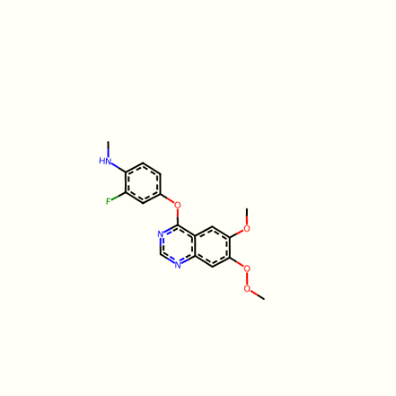 CNc1ccc(Oc2ncnc3cc(OOC)c(OC)cc23)cc1F